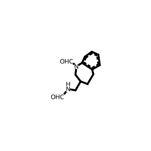 O=CNCC1CCc2ccccc2N(C=O)C1